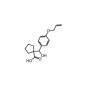 C=CCOc1ccc(C(O)C2(C(=O)O)CCCC2)cc1